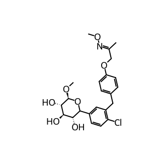 CON=C(C)COc1ccc(Cc2cc(C3O[C@H](OC)[C@@H](O)[C@H](O)[C@H]3O)ccc2Cl)cc1